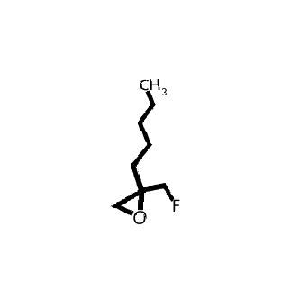 CCCCCC1(CF)CO1